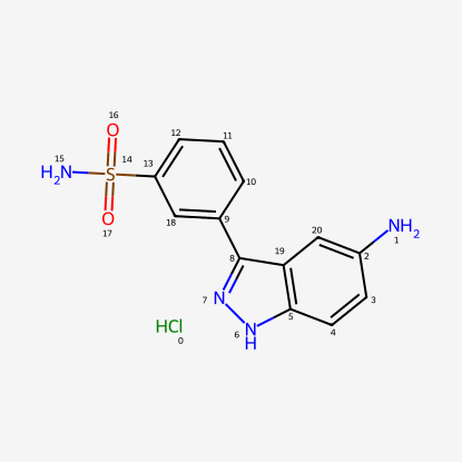 Cl.Nc1ccc2[nH]nc(-c3cccc(S(N)(=O)=O)c3)c2c1